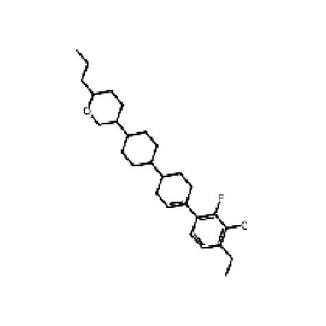 CCCC1CCC(C2CCC(C3CC=C(c4ccc(CC)c(Cl)c4F)CC3)CC2)CO1